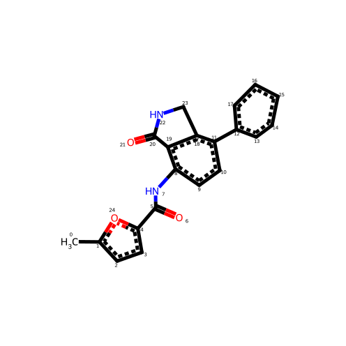 Cc1ccc(C(=O)Nc2ccc(-c3ccccc3)c3c2C(=O)NC3)o1